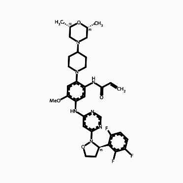 C=CC(=O)Nc1cc(Nc2cc(N3OCC[C@@H]3c3c(F)ccc(F)c3F)ncn2)c(OC)cc1N1CCC(N2C[C@@H](C)O[C@@H](C)C2)CC1